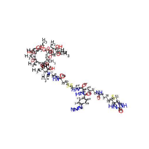 CC[C@H]1OC(=O)[C@H](C)[C@@H](O[C@H]2C[C@@](C)(OC)[C@@H](O)[C@H](C)O2)[C@H](C)[C@@H](O[C@@H]2O[C@H](C)C[C@H](N(C)CCCNC(=O)CCSSCCNC(=O)C(CCCCNC(=O)CCCCC3SCC4NC(=O)NC43)NC(=O)c3ccc(N=[N+]=[N-])cc3)[C@H]2O)[C@](C)(OC)C[C@@H](C)C(=O)[C@H](C)[C@@H](O)[C@]1(C)O